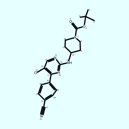 CC(C)(C)OC(=O)N1CCC(Nc2ncc(Cl)c(-c3ccc(C#N)cc3)n2)CC1